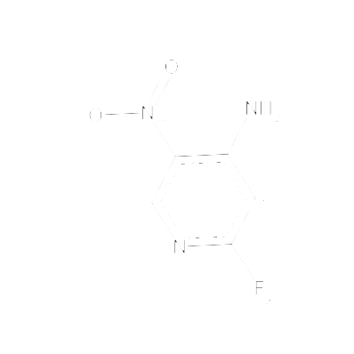 Nc1cc(F)ncc1[N+](=O)[O-]